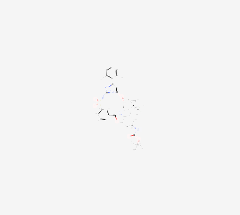 Cc1cccc(C)c1-c1cc2nc(n1)NS(=O)(=O)c1cccc(c1)C(=O)N(C1CCC(NC(=O)OC(C)(C)C)CC1)[C@H](CC1(C(F)(F)F)CC1)CO2